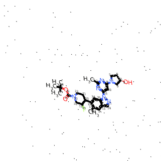 Cc1nc(N2CC[C@H](O)C2)cc(-n2ncc3cc(C)c(C4CCN(C(=O)OC(C)(C)C)CC4F)cc32)n1